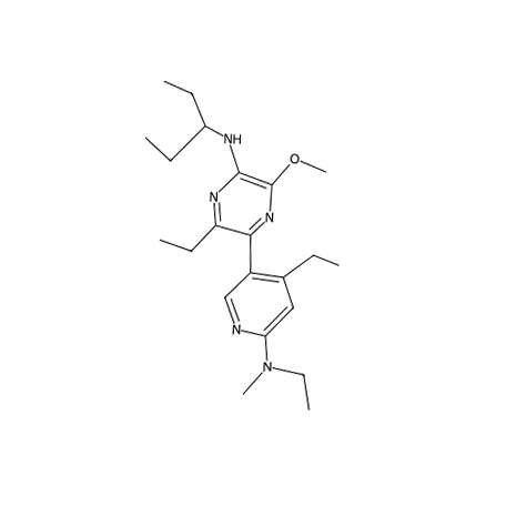 CCc1cc(N(C)CC)ncc1-c1nc(OC)c(NC(CC)CC)nc1CC